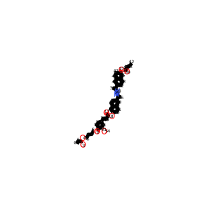 C=CC(=O)OCCCCOc1ccc(/C=C/C(=O)Oc2ccc3cc(/C(C)=N/N=C(\C)c4ccc5cc(OC(=O)/C=C/C)ccc5c4)ccc3c2)cc1OC